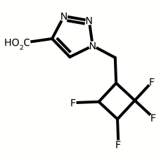 O=C(O)c1cn(CC2C(F)C(F)C2(F)F)nn1